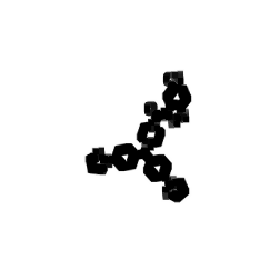 N#Cc1ccc2nnn(C(=O)N3CCN(C(c4ccc(-n5cccn5)cc4)c4ccc(-n5cccn5)cc4)CC3)c2c1